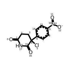 O=C1CCC(Cl)(c2ccc([N+](=O)[O-])cc2)C(=O)N1